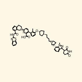 Cc1c(O[C@H]2CC[C@H](CCCCN3CC[C@H](c4cccc5c(C6CCC(=O)NC6=O)nn(C)c45)C3)CC2)cccc1-c1ccc(N2CCc3cccc(C(=O)Nc4nc5ccccc5s4)c3C2)nc1C(=O)O